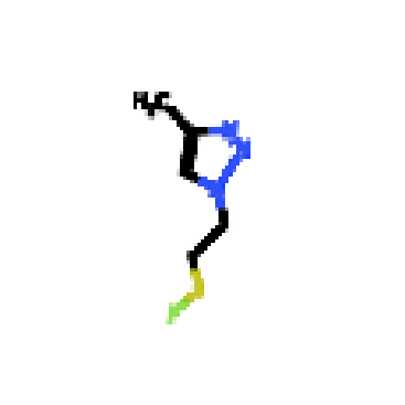 Cc1cn(CCSF)nn1